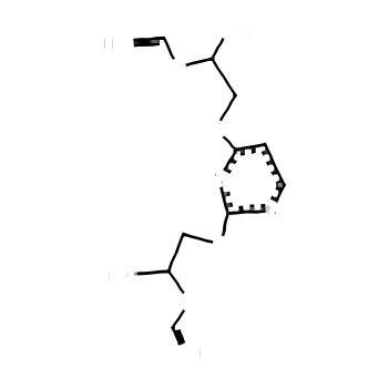 C=COC(CCCC)COc1ccnc(OCC(CCCC)OC=C)n1